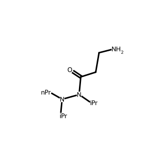 CCCN(C(C)C)N(C(=O)CCN)C(C)C